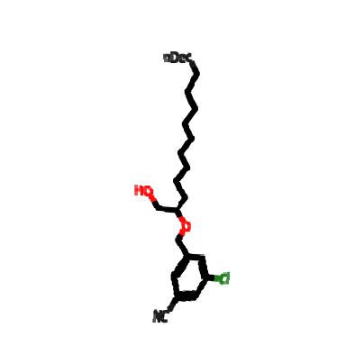 CCCCCCCCCCCCCCCCCCC[C@H](CO)OCc1cc(Cl)cc(C#N)c1